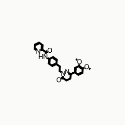 COc1ccc(C2=NN(CCc3ccc(NC(=O)c4ccccn4)cc3)C(=O)CC2)cc1OC